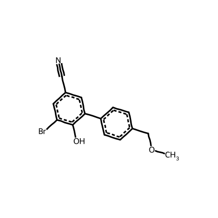 COCc1ccc(-c2cc(C#N)cc(Br)c2O)cc1